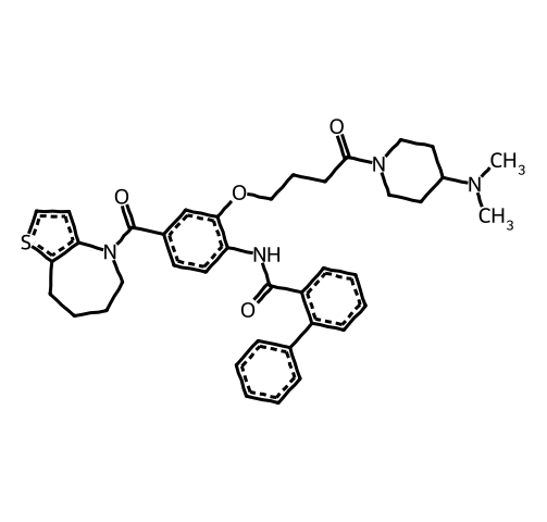 CN(C)C1CCN(C(=O)CCCOc2cc(C(=O)N3CCCCc4sccc43)ccc2NC(=O)c2ccccc2-c2ccccc2)CC1